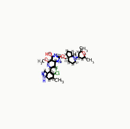 COc1nc(-c2c(Cl)c(C)cc3[nH]ncc23)c(F)c2nc(OC[C@]34CCC[C@H]3N(C3C[C@@H](C)O[C@@H](C)C3)CCC4)nc(O)c12